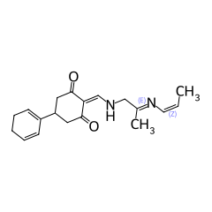 C/C=C\N=C(/C)CNC=C1C(=O)CC(C2=CCCC=C2)CC1=O